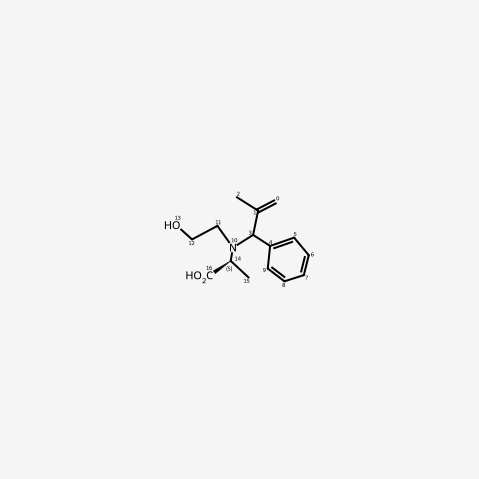 C=C(C)C(c1ccccc1)N(CCO)[C@@H](C)C(=O)O